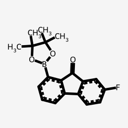 CC1(C)OB(c2cccc3c2C(=O)c2cc(F)ccc2-3)OC1(C)C